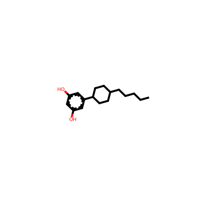 CCCCCC1CCC(c2cc(O)cc(O)c2)CC1